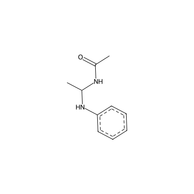 CC(=O)NC(C)Nc1ccccc1